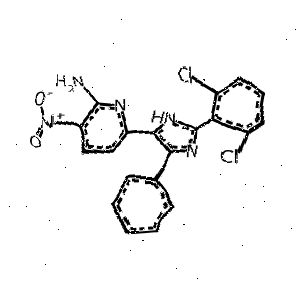 Nc1nc(-c2[nH]c(-c3c(Cl)cccc3Cl)nc2-c2ccccc2)ccc1[N+](=O)[O-]